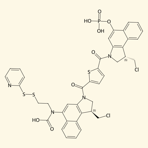 O=C(c1ccc(C(=O)N2C[C@@H](CCl)c3c2cc(N(CCSSc2ccccn2)C(=O)O)c2ccccc32)s1)N1C[C@@H](CCl)c2c1cc(OP(=O)(O)O)c1ccccc21